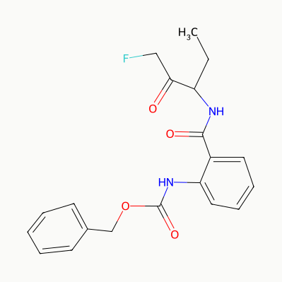 CCC(NC(=O)c1ccccc1NC(=O)OCc1ccccc1)C(=O)CF